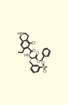 CS(=O)(=O)c1cccc(C[C@H](NC(=O)c2c(CI)cc3c(c2Cl)CCNC3)C(=O)OCc2ccccc2)c1